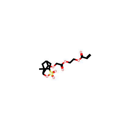 C=CC(=O)OCCOC(=O)COC1C2CC3C(C)(C2)C1OS3(=O)=O